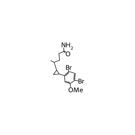 COc1cc(C2CC2C(C)CCC(N)=O)c(Br)cc1Br